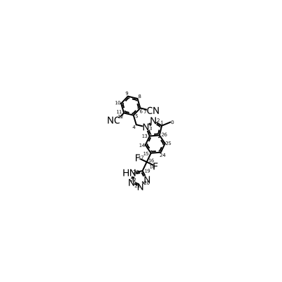 Cc1nn(Cc2c(C#N)cccc2C#N)c2cc(C(F)(F)c3nnn[nH]3)ccc12